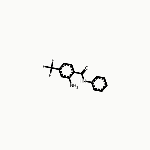 Nc1cc(C(F)(F)F)ccc1C(=O)Nc1ccccc1